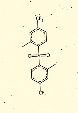 Cc1cc(C(F)(F)F)ccc1S(=O)(=O)c1ccc(C(F)(F)F)cc1C